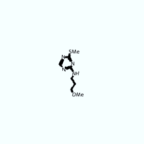 COCCCNc1ncnc(SC)n1